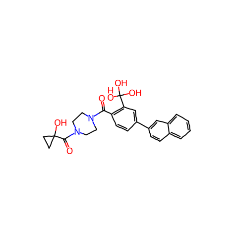 O=C(c1ccc(-c2ccc3ccccc3c2)cc1C(O)(O)O)N1CCN(C(=O)C2(O)CC2)CC1